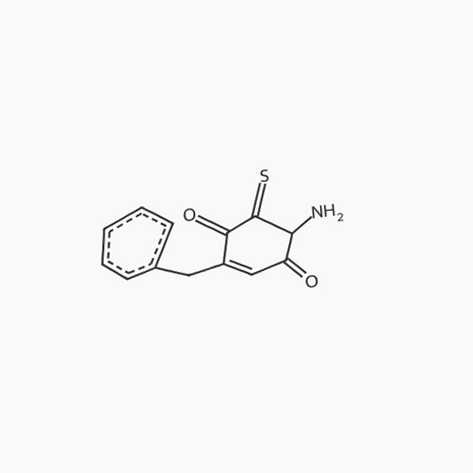 NC1C(=O)C=C(Cc2ccccc2)C(=O)C1=S